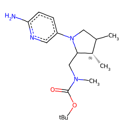 CC1CN(c2ccc(N)nc2)C(CN(C)C(=O)OC(C)(C)C)[C@H]1C